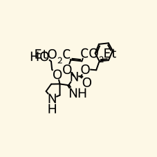 CCOC(=O)C=C(ON(C(=N)C1(OCCO)CCNC1)C(=O)OCc1ccccc1)C(=O)OCC